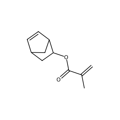 C=C(C)C(=O)OC1CC2C=CC1C2